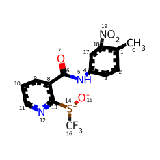 Cc1ccc(NC(=O)c2cccnc2[S+]([O-])C(F)(F)F)cc1[N+](=O)[O-]